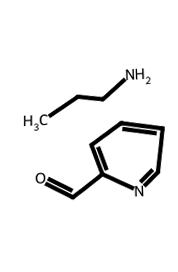 CCCN.O=Cc1ccccn1